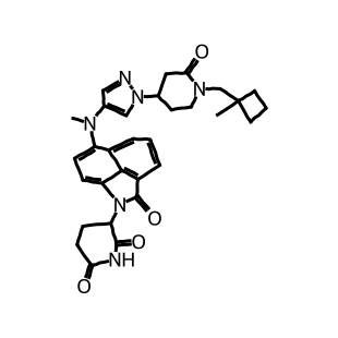 CN(c1cnn(C2CCN(CC3(C)CCC3)C(=O)C2)c1)c1ccc2c3c(cccc13)C(=O)N2C1CCC(=O)NC1=O